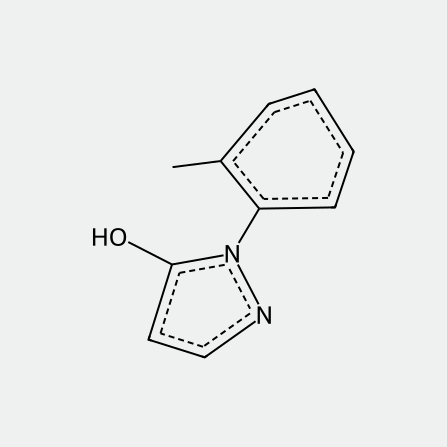 Cc1ccccc1-n1nccc1O